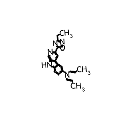 CC=CN(C=CC)c1ccc2[nH]c3cnc(-c4nc(CC)no4)cc3c2c1